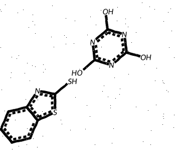 Oc1nc(O)nc(O)n1.Sc1nc2ccccc2s1